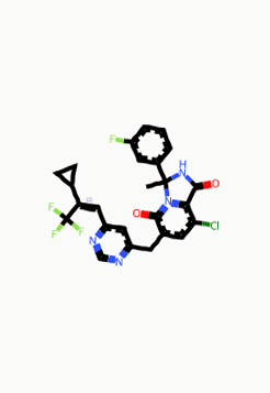 CC1(c2cccc(F)c2)NC(=O)c2c(Cl)cc(Cc3cc(/C=C(/C4CC4)C(F)(F)F)ncn3)c(=O)n21